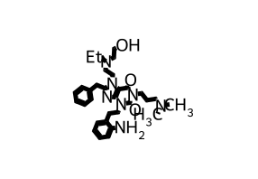 CCN(CCO)CCn1c(Cc2ccccc2)nc2c1c(=O)n(CCCN(C)C)c(=O)n2CCc1ccccc1N